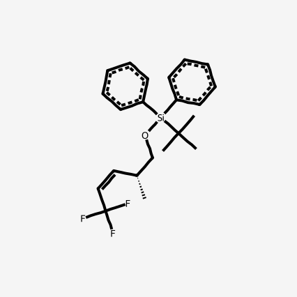 C[C@H](/C=C\C(F)(F)F)CO[Si](c1ccccc1)(c1ccccc1)C(C)(C)C